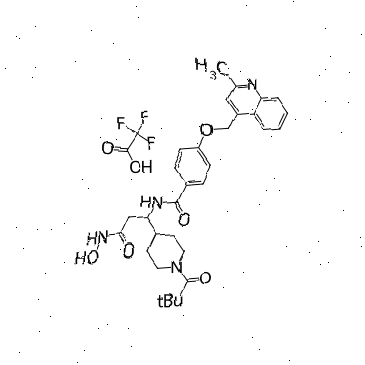 Cc1cc(COc2ccc(C(=O)NC(CC(=O)NO)C3CCN(C(=O)C(C)(C)C)CC3)cc2)c2ccccc2n1.O=C(O)C(F)(F)F